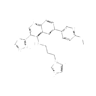 COc1ccc(-c2ccc3ncc(-c4nnco4)c(NCCCn4ccnc4)c3c2)cn1